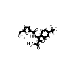 CCc1ccc(C(=O)Nc2c(C(N)=O)oc3cc(C(F)(F)F)ccc23)o1